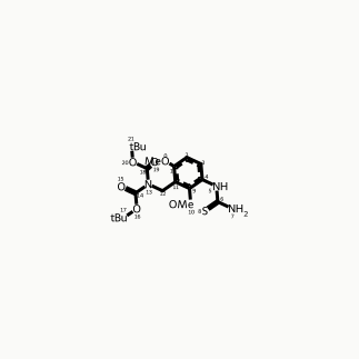 COc1ccc(NC(N)=S)c(OC)c1CN(C(=O)OC(C)(C)C)C(=O)OC(C)(C)C